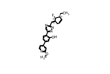 CC[C@H]1C=CC/C(=C\c2ncc(-c3ccc(-c4ccnc(OC)c4)cc3O)nn2)[C@H]1F